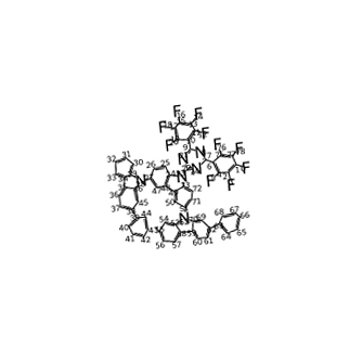 Fc1c(F)c(F)c(-c2nc(-c3c(F)c(F)c(F)c(F)c3F)nc(-n3c4ccc(-n5c6ccccc6c6ccc(-c7ccccc7)cc65)cc4c4cc(-n5c6ccccc6c6ccc(-c7ccccc7)cc65)ccc43)n2)c(F)c1F